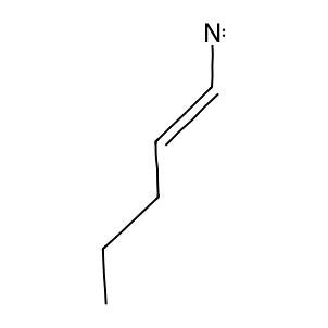 CCCC=C[N]